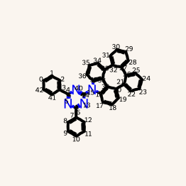 c1ccc(-c2nc(-c3ccccc3)nc(-n3c4cccc5c6ccccc6c6ccccc6c6cccc3c6c54)n2)cc1